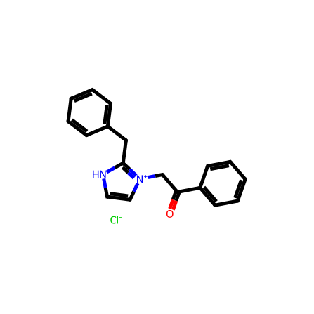 O=C(C[n+]1cc[nH]c1Cc1ccccc1)c1ccccc1.[Cl-]